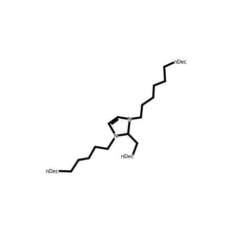 CCCCCCCCCCCCCCCCN1C=CN(CCCCCCCCCCCCCCC)C1CCCCCCCCCCC